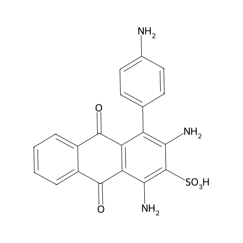 Nc1ccc(-c2c(N)c(S(=O)(=O)O)c(N)c3c2C(=O)c2ccccc2C3=O)cc1